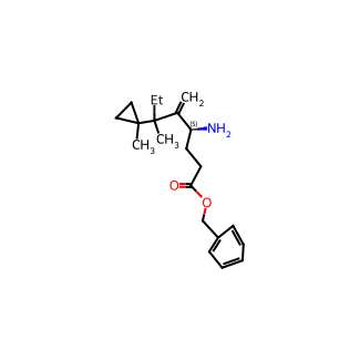 C=C([C@@H](N)CCC(=O)OCc1ccccc1)C(C)(CC)C1(C)CC1